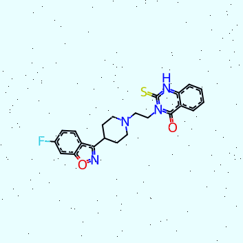 O=c1c2ccccc2[nH]c(=S)n1CCN1CCC(c2noc3cc(F)ccc23)CC1